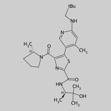 Cc1cc(NCC(C)(C)C)ncc1-c1sc(C(=O)N[C@H](C)C(C)(C)O)nc1C(=O)N1CCC[C@@H]1C